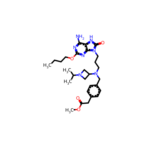 CCCCOc1nc(N)c2[nH]c(=O)n(CCCN(Cc3ccc(CC(=O)OC)cc3)C3CN(C(C)C)C3)c2n1